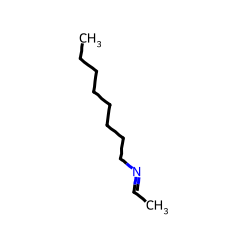 C/C=N/CCCCCCCC